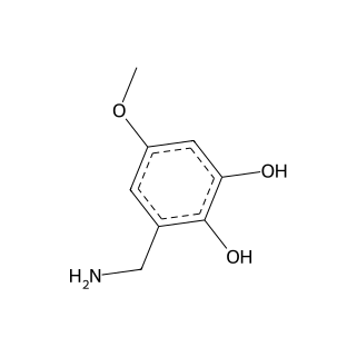 COc1cc(O)c(O)c(CN)c1